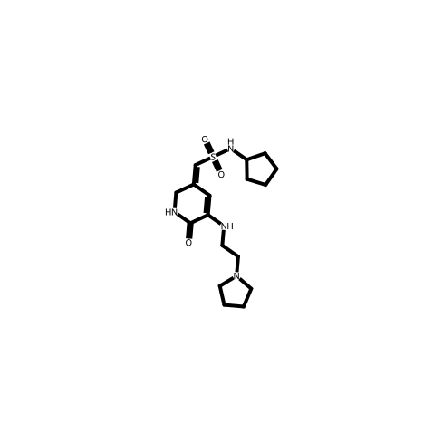 O=C1NC/C(=C/S(=O)(=O)NC2CCCC2)C=C1NCCN1CCCC1